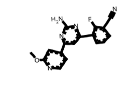 COc1cc(-c2cc(-c3cccc(C#N)c3F)nc(N)n2)ccn1